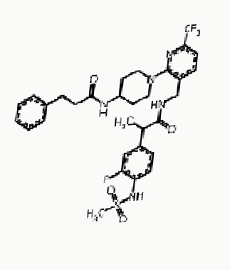 CC(C(=O)NCc1ccc(C(F)(F)F)nc1N1CCC(NC(=O)CCc2ccccc2)CC1)c1ccc(NS(C)(=O)=O)c(F)c1